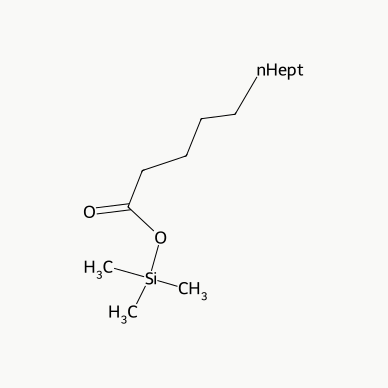 CCCCCCCCCCCC(=O)O[Si](C)(C)C